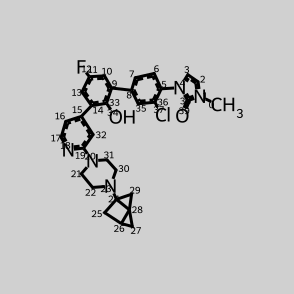 Cn1ccn(-c2ccc(-c3cc(F)cc(-c4ccnc(N5CCN(C67CC8CC86C7)CC5)c4)c3O)cc2Cl)c1=O